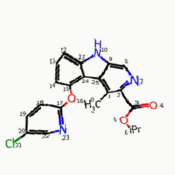 Cc1c(C(=O)OC(C)C)ncc2[nH]c3cccc(Oc4ccc(Cl)cn4)c3c12